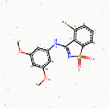 COc1cc(NC2=NS(=O)(=O)c3cccc(F)c32)cc(OC)c1